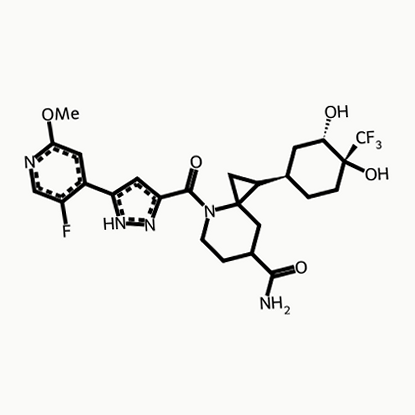 COc1cc(-c2cc(C(=O)N3CCC(C(N)=O)CC34CC4[C@@H]3CC[C@](O)(C(F)(F)F)[C@@H](O)C3)n[nH]2)c(F)cn1